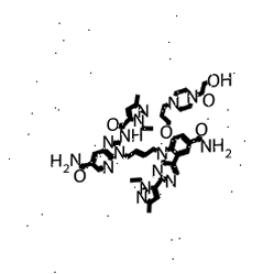 CCn1nc(C)cc1C(=O)Nc1nc2cc(C(N)=O)cnc2n1C/C=C/Cn1c2nc(-c3cc(C)nn3CC)ncc2c2cc(C(N)=O)cc(OCCCN3CCN(C(=O)CO)CC3)c21